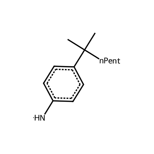 CCCCCC(C)(C)c1ccc([NH])cc1